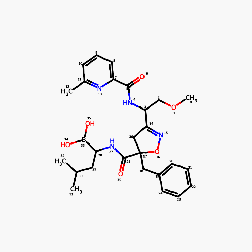 COCC(NC(=O)c1cccc(C)n1)C1=NOC(Cc2ccccc2)(C(=O)NC(CC(C)C)B(O)O)C1